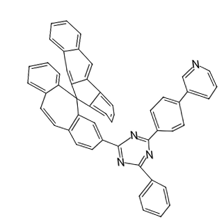 C1=Cc2ccc(-c3nc(-c4ccccc4)nc(-c4ccc(-c5cccnc5)cc4)n3)cc2C2(c3ccccc31)c1ccccc1-c1cc3ccccc3cc12